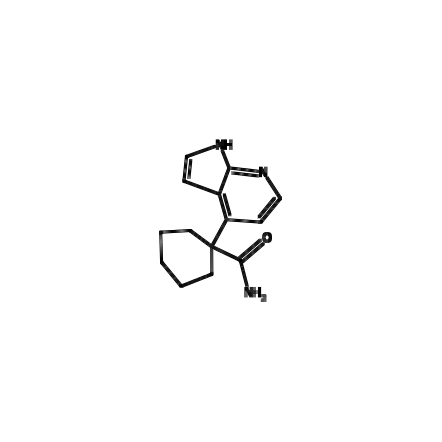 NC(=O)C1(c2ccnc3[nH]ccc23)CCCCC1